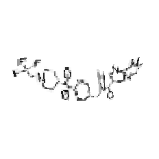 O=C(NCc1ccc(S(=O)(=O)C2CCN(CC(F)(F)F)CC2)cc1)c1cnc2nccn2c1